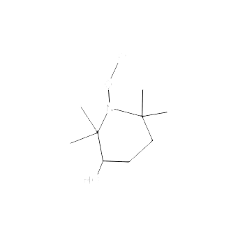 CCON1C(C)(C)CCC(O)C1(C)C